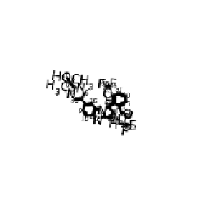 CC(C)(O)c1ncc(-c2ccc3nc4n(c3c2)[C@@H]2C[C@H]4N(CC(F)(F)F)C(=O)c3cccc(OC(F)F)c32)cn1